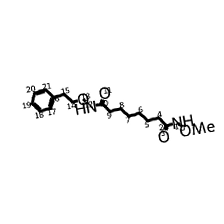 CONC(=O)CCCCCCC(=O)NOCCc1ccccc1